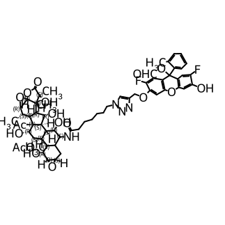 CC(=O)O[C@H]1[C@H]2[C@@H]([C@@H](O)[C@@H](NC(=O)CCCCCCn3cc(COc4cc5c(cc4F)C(OC=O)(c4ccccc4C)c4cc(F)c(O)cc4O5)nn3)C3C[C@@H]4O[C@@H]4[C@H](O)[C@@]32C)[C@@H]2[C@@H](O)[C@@H]3[C@H]([C@H](C)[C@H]4O[C@]45OC(=O)[C@@](C)(O)[C@]35C)[C@@]2(C(C)=O)[C@H]1O